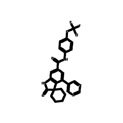 O=C(Nc1ccc(OC(F)(F)Cl)cc1)c1cc2c(c(-c3cncnc3)c1)C1(CCCCC1)C(=O)N2